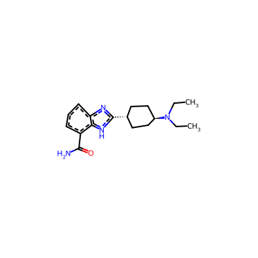 CCN(CC)[C@H]1CC[C@H](c2nc3cccc(C(N)=O)c3[nH]2)CC1